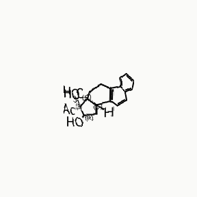 CC(=O)[C@@]1(O)[C@H](O)C[C@H]2c3ccc4ccccc4c3CC[C@@]21C